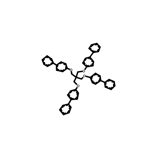 c1ccc(-c2ccc(OCC(COc3ccc(-c4ccccc4)cc3)(COc3ccc(-c4ccccc4)cc3)COc3ccc(-c4ccccc4)cc3)cc2)cc1